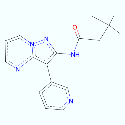 CC(C)(C)CC(=O)Nc1nn2cccnc2c1-c1cccnc1